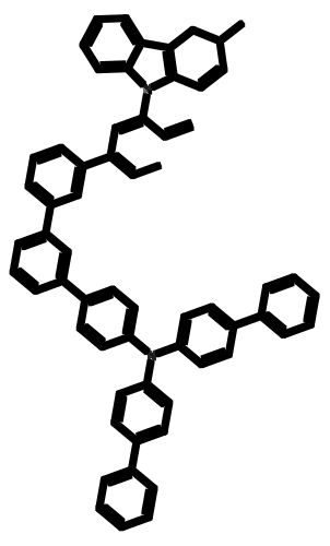 C=C/C(=C\C(=C/C)c1cccc(-c2cccc(-c3ccc(N(c4ccc(-c5ccccc5)cc4)c4ccc(-c5ccccc5)cc4)cc3)c2)c1)n1c2c(c3ccccc31)CC(C)C=C2